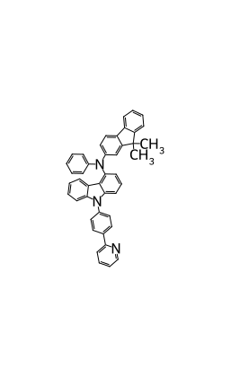 CC1(C)c2ccccc2-c2ccc(N(c3ccccc3)c3cccc4c3c3ccccc3n4-c3ccc(-c4ccccn4)cc3)cc21